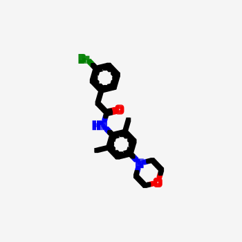 Cc1cc(N2CCOCC2)cc(C)c1NC(=O)Cc1cccc(Br)c1